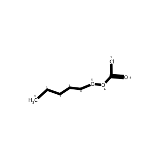 CCCCCOOC(=O)Cl